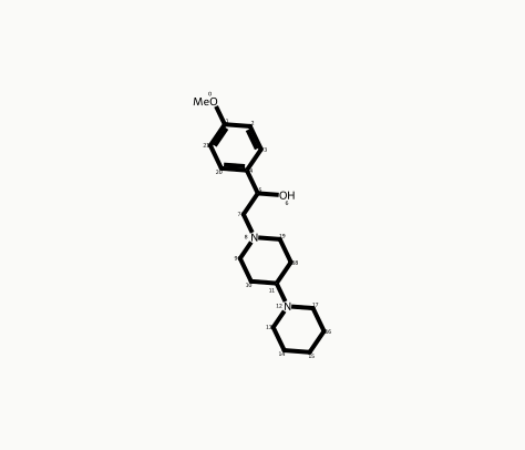 COc1ccc(C(O)CN2CCC(N3CCCCC3)CC2)cc1